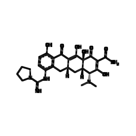 CN(C)[C@H]1C(O)=C(C(N)=O)C(=O)[C@@]2(O)C(O)=C3C(=O)c4c(O)ccc(NC(=N)N5CCCC5)c4C[C@H]3C[C@@H]12